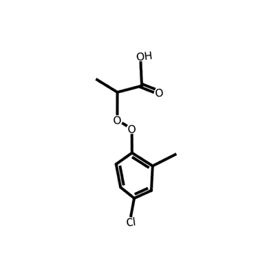 Cc1cc(Cl)ccc1OOC(C)C(=O)O